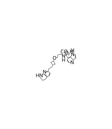 O=C(NC(CCOC1CC(CCc2ccc3c(n2)NCCC3)C1)C(=O)O)c1ccnc2cc[nH]c12